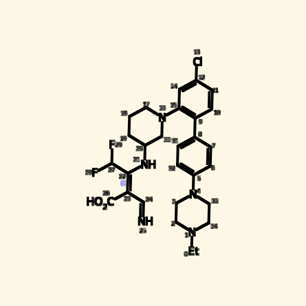 CCN1CCN(c2ccc(-c3ccc(Cl)cc3N3CCCC(N/C(=C(\C=N)C(=O)O)C(F)F)C3)cc2)CC1